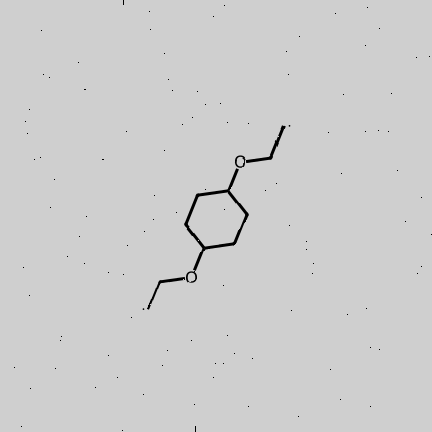 [CH2]COC1CCC(OC[CH2])CC1